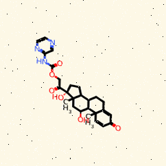 CC12C=CC(=O)C=C1CCC1C2[C@@H](O)CC2(C)C1CC[C@]2(O)C(=O)COC(=O)Nc1cnccn1